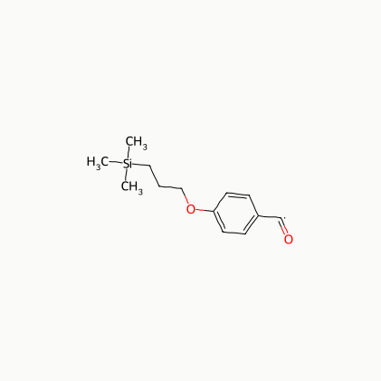 C[Si](C)(C)CCCOc1ccc([C]=O)cc1